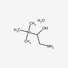 C[N+](C)(C)C(O)CN.O